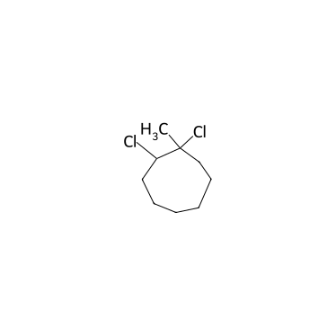 CC1(Cl)CCCCCCC1Cl